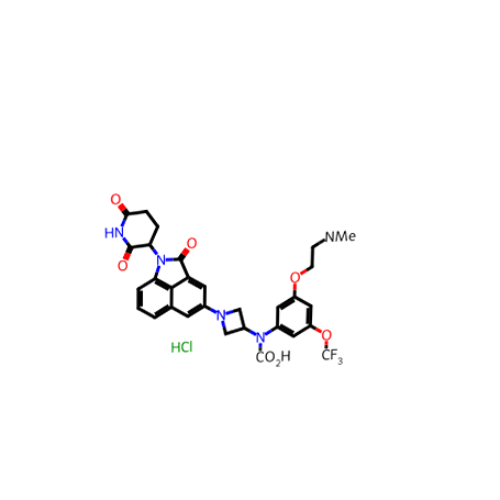 CNCCOc1cc(OC(F)(F)F)cc(N(C(=O)O)C2CN(c3cc4c5c(cccc5c3)N(C3CCC(=O)NC3=O)C4=O)C2)c1.Cl